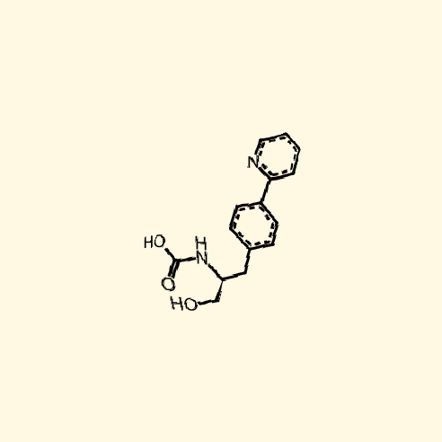 O=C(O)N[C@H](CO)Cc1ccc(-c2ccccn2)cc1